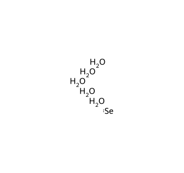 O.O.O.O.O.[Se]